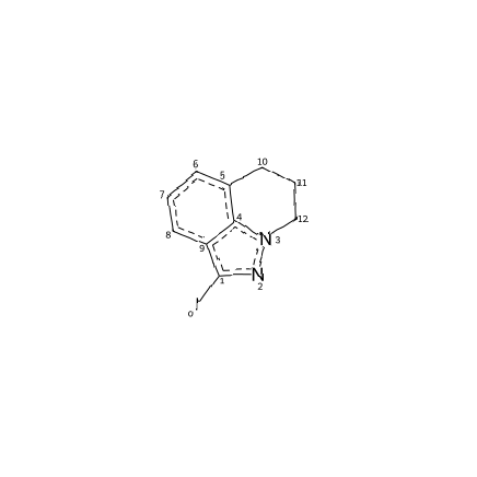 Ic1nn2c3c(cccc13)CCC2